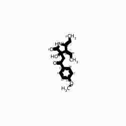 C/C=C1\NC(=O)C(O)(CC(=O)c2ccc(OC)cc2)\C1=C/C